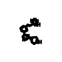 C(=Cc1nnn[nH]1)c1cccc(-c2cncc(N3CCCNCC3)n2)c1